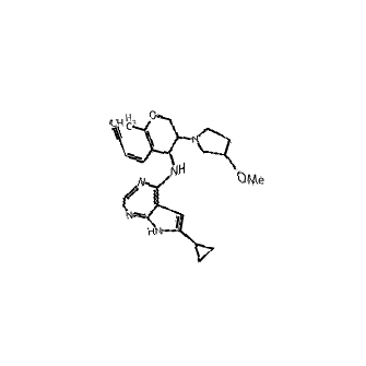 C#C/C=C\C1=C(C)OCC(N2CCC(OC)C2)C1Nc1ncnc2[nH]c(C3CC3)cc12